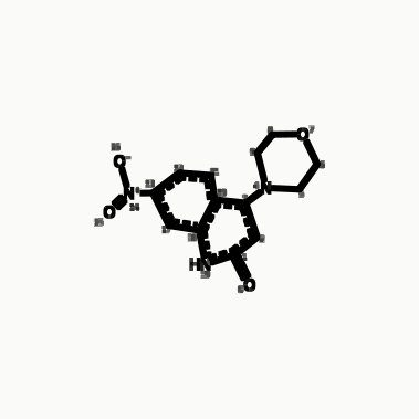 O=c1cc(N2CCOCC2)c2ccc([N+](=O)[O-])cc2[nH]1